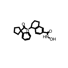 O=C(NO)c1ccc2c(c1)CCCC2NC(=O)C1(c2ccccc2)CCCC1